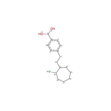 OC(O)c1ccc(CCC2CCCCCC2F)cc1